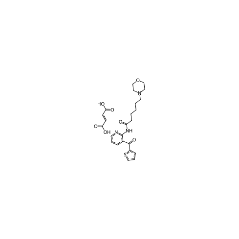 O=C(CCCCCN1CCOCC1)Nc1ncccc1C(=O)c1cccs1.O=C(O)C=CC(=O)O